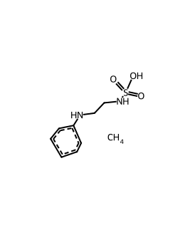 C.O=S(=O)(O)NCCNc1ccccc1